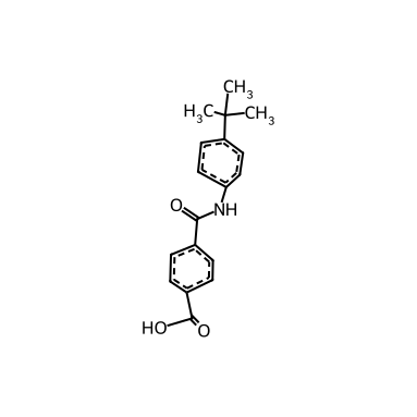 CC(C)(C)c1ccc(NC(=O)c2ccc(C(=O)O)cc2)cc1